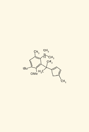 COc1c(C(C)(C)C)cc(C)c([SiH](C)C)c1C(C)(C)C1=CC=C(C)C1